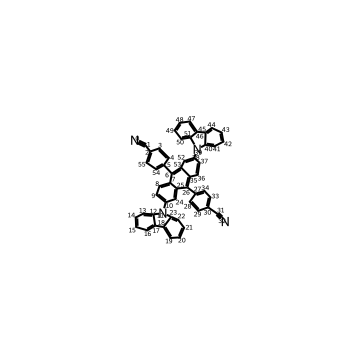 N#Cc1ccc(-c2c3ccc(-n4c5ccccc5c5ccccc54)cc3c(-c3ccc(C#N)cc3)c3ccc(-n4c5ccccc5c5ccccc54)cc23)cc1